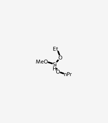 CCCO[SiH](OC)OCC